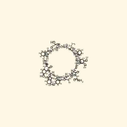 CCCC[C@H]1C(=O)N(C)CC(=O)N[C@@H](CC(=O)O)C(=O)N[C@@H](C(C)C)C(=O)N(C)[C@@H](Cc2ccccc2)C(=O)N[C@H]2Cc3ccc(O)cc3N(CC(=O)N[C@@H](Cc3c[nH]c4ccccc34)C(=O)N[C@H](Cc3ccc(O)cc3)C(=O)N[C@@H](CC(C)C)C(=O)N[C@H](C(=O)NCC(N)=O)CSCC(=O)N[C@@H](Cc3ccc(OC)c(OC)c3)C(=O)N(C)[C@@H](Cc3ccccc3)C(=O)N1C)C2=O